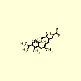 C#CC(=C)/C(=C\C=C(/C)C/C(=C(\C)C(=C)C(=C)C)C(C)C)CCC(F)F